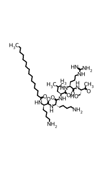 CCCCCCCCCCCCCCCC(=O)N[C@H](CCCCN)C(=O)N[C@@H](CCCCN)C(=O)N[C@@H](CC(C)C)C(=O)N[C@@H](CCCNC(=N)N)C(=O)N[C@@H](CO)C(C)=O